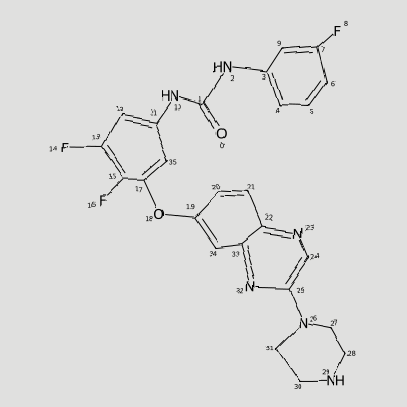 O=C(Nc1cccc(F)c1)Nc1cc(F)c(F)c(Oc2ccc3ncc(N4CCNCC4)nc3c2)c1